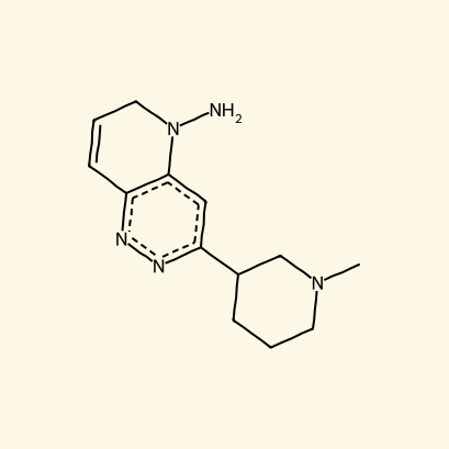 CN1CCCC(c2cc3c(nn2)C=CCN3N)C1